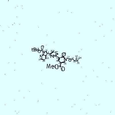 COC(=O)c1cc(-c2nc(-c3cn(C(=O)OC(C)(C)C)c4ncccc34)cs2)c(=O)n(COCC[Si](C)(C)C)c1